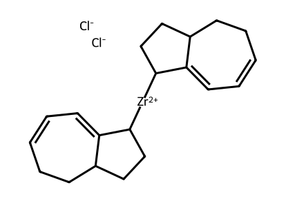 C1=CCCC2CC[CH]([Zr+2][CH]3CCC4CCC=CC=C43)C2=C1.[Cl-].[Cl-]